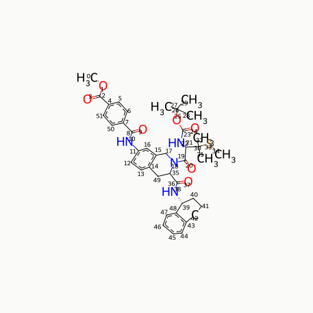 COC(=O)c1ccc(C(=O)Nc2ccc3c(c2)CN(C(=O)C(NC(=O)OC(C)(C)C)C(C)(C)SC)C(C(=O)N[C@@H]2CCCc4ccccc42)C3)cc1